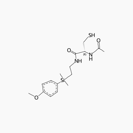 COc1ccc([Si](C)(C)CCNC(=O)[C@H](CS)NC(C)=O)cc1